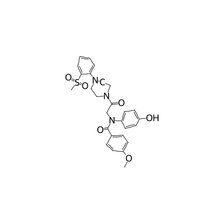 COc1ccc(C(=O)N(CC(=O)N2CCN(c3ccccc3S(C)(=O)=O)CC2)c2ccc(O)cc2)cc1